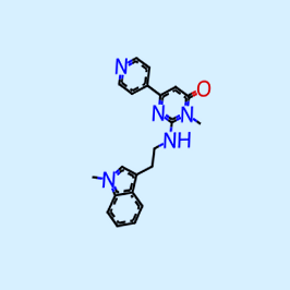 Cn1c(NCCc2cn(C)c3ccccc23)nc(-c2ccncc2)cc1=O